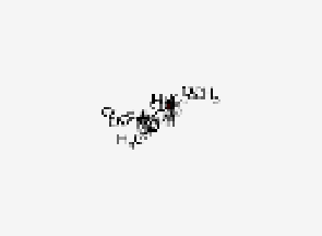 C=CC(=O)CCC1(C)CCC[C@H]2[C@@H]3CC[C@@]4(CC(C)=C3C[C@@H]21)O[C@@H]1C[C@H](C)CN(Cc2ccc(Oc3ccccc3)cc2)[C@H]1[C@H]4C